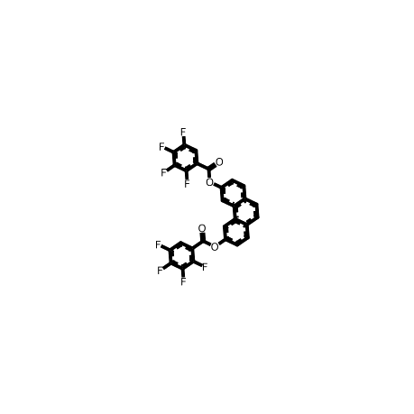 O=C(Oc1ccc2ccc3ccc(OC(=O)c4cc(F)c(F)c(F)c4F)cc3c2c1)c1cc(F)c(F)c(F)c1F